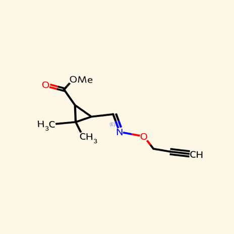 C#CCO/N=C/C1C(C(=O)OC)C1(C)C